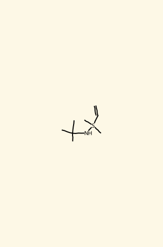 C=CS(C)(C)NC(C)(C)C